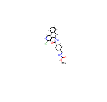 CC(C)(C)OC(=O)NC[C@H]1CC[C@H](C(=O)NC(Cc2ccccc2)c2ccnc(Cl)c2)CC1